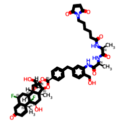 C[C@H](NC(=O)CCCCCN1C(=O)C=CC1=O)C(=O)N[C@@H](C)C(=O)Nc1cc(Cc2ccc([C@@H]3O[C@@H]4C[C@H]5[C@@H]6C[C@H](F)C7=CC(=O)C=C[C@]7(C)[C@@]6(F)[C@@H](O)C[C@]5(C)[C@]4(C(=O)CO)O3)cc2)ccc1CO